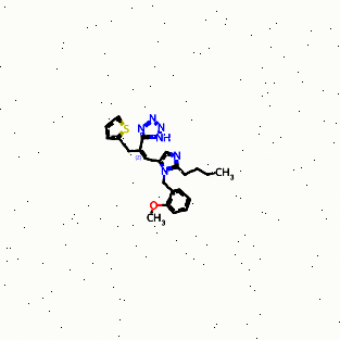 CCCCc1ncc(/C=C(/Cc2cccs2)c2nnn[nH]2)n1Cc1ccccc1OC